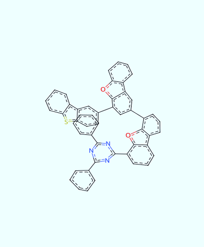 c1ccc(-c2nc(-c3ccccc3)nc(-c3cccc4c3oc3c(-c5cc(-c6ccc7sc8ccccc8c7c6)c6oc7ccccc7c6c5)cccc34)n2)cc1